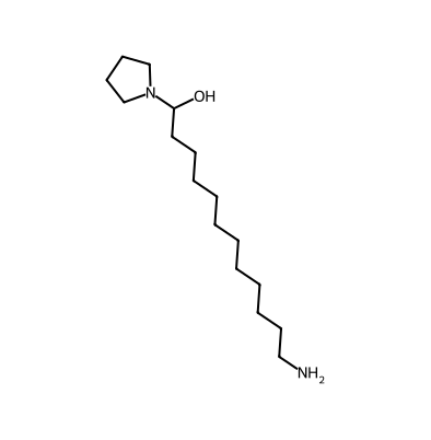 NCCCCCCCCCCCC(O)N1CCCC1